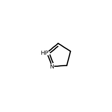 C1=[PH]=NCC1